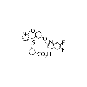 O=C(O)c1cccc(CSC2c3cc(OCc4ccc5cc(F)c(F)cc5n4)ccc3OCc3ncccc32)c1